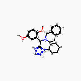 COc1ccc(OC)c(C(c2nnnn2C2CCCCC2)N2CCc3ccccc3C2)c1